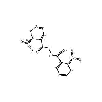 O=C(OOC(=O)C1=CC=CCC1=S(=O)=O)C1=CC=CCC1=S(=O)=O